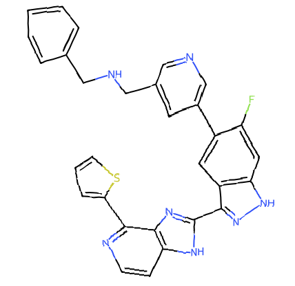 Fc1cc2[nH]nc(-c3nc4c(-c5cccs5)nccc4[nH]3)c2cc1-c1cncc(CNCc2ccccc2)c1